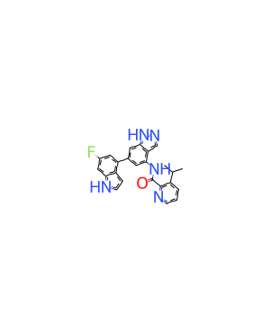 CC(C)c1cccnc1C(=O)Nc1cc(-c2cc(F)cc3[nH]ccc23)cc2[nH]ncc12